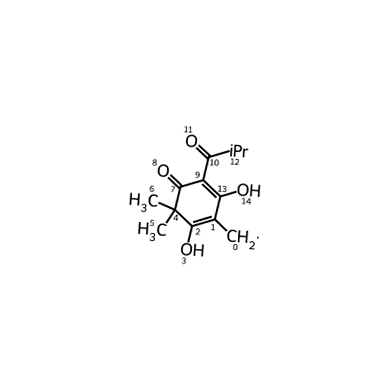 [CH2]C1=C(O)C(C)(C)C(=O)C(C(=O)C(C)C)=C1O